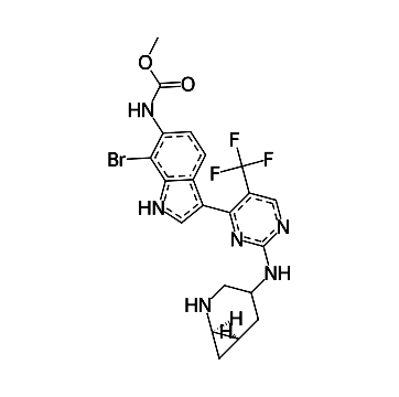 COC(=O)Nc1ccc2c(-c3nc(NC4CN[C@@H]5C[C@@H]5C4)ncc3C(F)(F)F)c[nH]c2c1Br